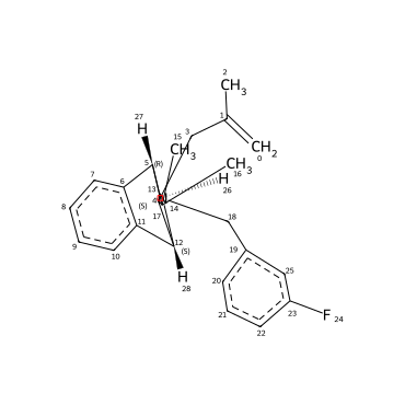 C=C(C)C[C@H]1[C@H]2c3ccccc3[C@H](CC2(C)C)N1Cc1cccc(F)c1